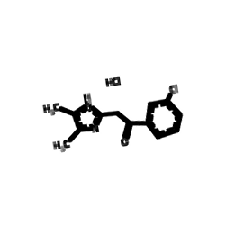 Cc1nc(CC(=O)c2cccc(Cl)c2)[nH]c1C.Cl